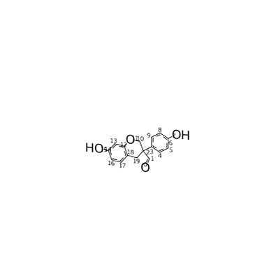 O=CC1(c2ccc(O)cc2)COc2cc(O)ccc2C1